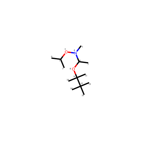 CC(C)ON(C)C(C)OC(C)(C)C(C)(C)C